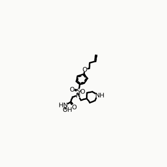 C=CCCOc1ccc(S(=O)(=O)N(CC(=O)NO)CC2CCNCC2)cc1